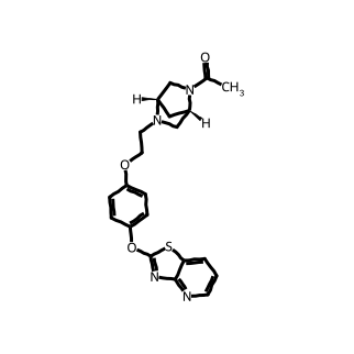 CC(=O)N1C[C@@H]2C[C@H]1CN2CCOc1ccc(Oc2nc3ncccc3s2)cc1